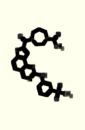 CC(=O)N1CCCN(C(=O)c2cc3c(ccc4cnc(Nc5cccc(S(C)(=O)=O)c5)nc43)s2)CC1